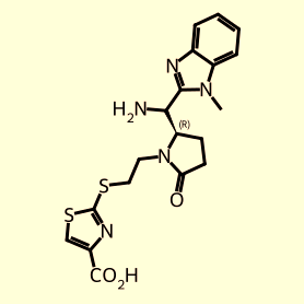 Cn1c(C(N)[C@H]2CCC(=O)N2CCSc2nc(C(=O)O)cs2)nc2ccccc21